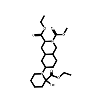 CCOC(=O)C1CC2CC(N3CCCCC3(O)C(=O)OCC)CCC2CN1C(=O)OC